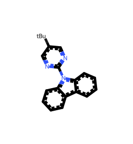 CC(C)(C)c1cnc(-n2c3ccccc3c3ccccc32)nc1